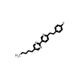 CCCCCc1cnc(-c2ccc(CCc3ccc(F)cc3)nc2)nc1